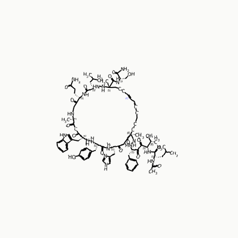 CC(=O)N[C@@H](CC(C)C)C(=O)N[C@H](C(=O)C(=O)[C@H](Cc1ccccc1)NN[C@]1(C)CCCCCC/C=C/CCC[C@@](C)(C(=O)N[C@@H](CO)C(N)=O)NN[C@@H](CC(C)C)C(=O)N[C@@H](CCC(N)=O)C(=O)CN[C@@H](C)C(=O)CC(=O)[C@H](Cc2c[nH]c3ccccc23)NN[C@@H](Cc2ccc(O)cc2)C(=O)N[C@@H](Cc2c[nH]cn2)C(=O)CC1=O)[C@@H](C)O